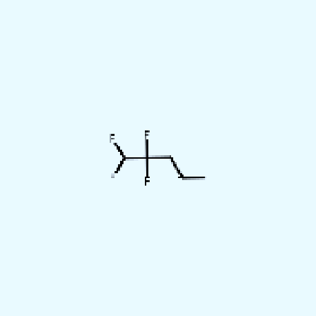 C[CH]CC(F)(F)[C](F)F